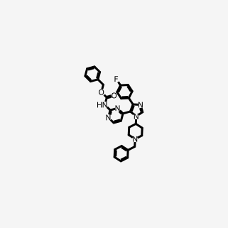 O=C(Nc1nccc(-c2c(-c3ccc(F)cc3)ncn2C2CCN(Cc3ccccc3)CC2)n1)OCc1ccccc1